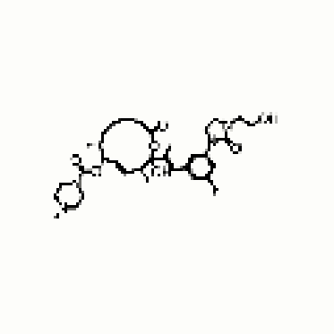 C/C(=C\c1cc(F)cc(N2CCN(CCO)C2=O)c1)[C@@]1(O)OC(=O)CCCC[C@H](C)[C@@H](OC(=O)N2CCN(C)CC2)/C=C/[C@@H]1C